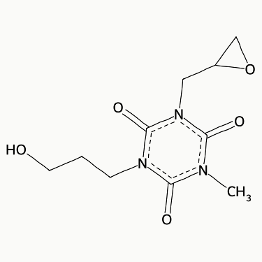 Cn1c(=O)n(CCCO)c(=O)n(CC2CO2)c1=O